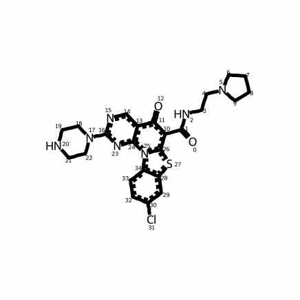 O=C(NCCN1CCCC1)c1c(=O)c2cnc(N3CCNCC3)nc2n2c1sc1cc(Cl)ccc12